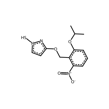 CC(C)Oc1cccc([N+](=O)[O-])c1COc1ccn(S)n1